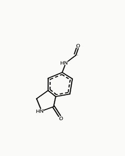 O=[C]Nc1ccc2c(c1)CNC2=O